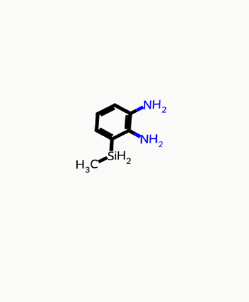 C[SiH2]c1cccc(N)c1N